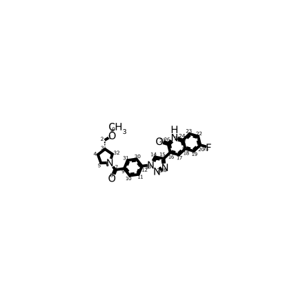 COC[C@H]1CCN(C(=O)c2ccc(-n3cc(-c4cc5cc(F)ccc5[nH]c4=O)nn3)cc2)C1